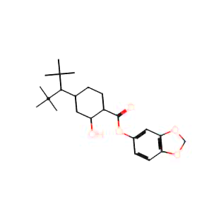 CC(C)(C)C(C1CCC(C(=O)Oc2ccc3c(c2)OCO3)C(O)C1)C(C)(C)C